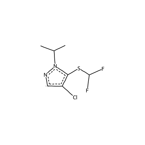 CC(C)n1n[c]c(Cl)c1SC(F)F